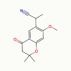 COc1cc2c(cc1C(C)C#N)C(=O)CC(C)(C)O2